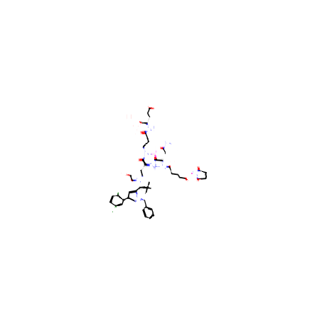 CC(C)(C)[C@H](c1cc(-c2cc(F)ccc2F)cn1Cc1ccccc1)N(CC[C@H](NC(=O)[C@H](CC(N)=O)NC(=O)CCCC(=O)ON1C(=O)CCC1=O)C(=O)NCCC(=O)N[C@H](CCC(=O)O)C(=O)O)C(=O)CO